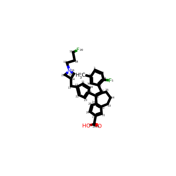 Cc1ccc(F)c(C2=C(c3ccc(CC4CN(CCCF)C4)cc3)c3ccc(C(=O)O)cc3CCC2)c1